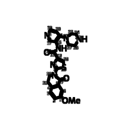 COc1ccc2c(c1)C(=O)N(c1nc(C(=O)Nc3cnccc3N3CCNCC3)cs1)CC2